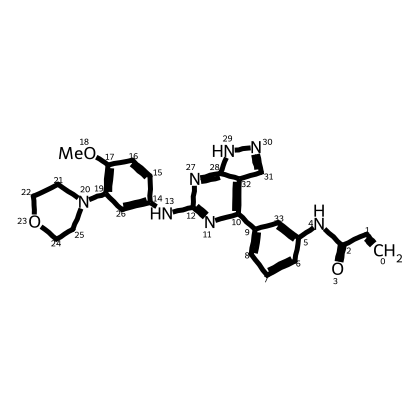 C=CC(=O)Nc1cccc(-c2nc(Nc3ccc(OC)c(N4CCOCC4)c3)nc3[nH]ncc23)c1